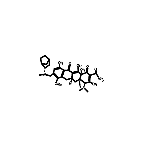 COc1c(CN(C)[C@H]2CC3CCC2C3)cc(O)c2c1C[C@H]1C[C@H]3[C@H](N(C)C)C(O)=C(C(N)=O)C(=O)[C@@]3(O)C(O)=C1C2=O